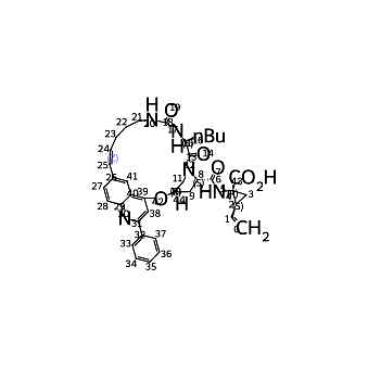 C=C[C@@H]1C[C@]1(NC(=O)[C@@H]1C[C@@H]2CN1C(=O)[C@H](CCCC)NC(=O)NCCC/C=C\c1ccc3nc(-c4ccccc4)cc(c3c1)O2)C(=O)O